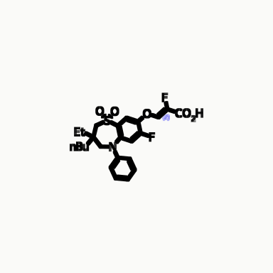 CCCCC1(CC)CN(c2ccccc2)c2cc(F)c(O/C=C(\F)C(=O)O)cc2S(=O)(=O)C1